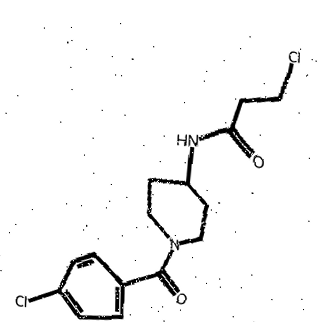 O=C(CCCl)NC1CCN(C(=O)c2ccc(Cl)cc2)CC1